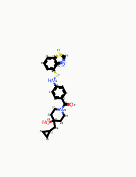 O=C(c1ccc(NSc2cccc3scnc23)cc1)N1CCC(O)(CC2CC2)CC1